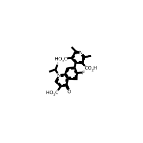 Cc1nc(C)c(C(=O)O)c(-c2cc3c(cc2F)c(=O)c(C(=O)O)cn3C(C)I)c1C(=O)O